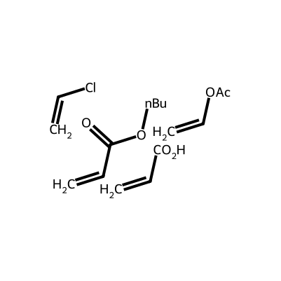 C=CC(=O)O.C=CC(=O)OCCCC.C=CCl.C=COC(C)=O